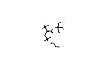 CCC(C)(CC(C(=O)NC(CO)(CO)CN=O)C(C)(N)CC)SCCP